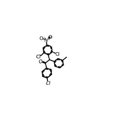 Cc1cccc(C(C(=O)c2ccc(Cl)cc2)c2c(Cl)cc([N+](=O)[O-])cc2Cl)c1